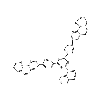 c1ccc2c(-c3nc(-c4ccc(-c5cnc6c(ccc7cccnc76)c5)cc4)nc(-c4ccc(-c5cnc6c(ccc7cccnc76)c5)cc4)n3)cccc2c1